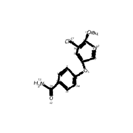 CC(C)COc1ncc(Oc2ccc(C(N)=O)cc2)cc1Cl